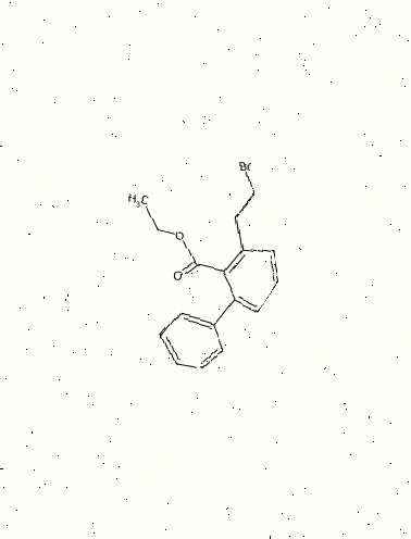 CCOC(=O)c1c(CCBr)cccc1-c1ccccc1